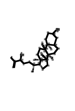 C=C(C)[C@@H](O)CC[C@@H](C)[C@H]1CC[C@H]2[C@@H]3CCC4CC(O)CC[C@]4(C)[C@H]3CC[C@]12C